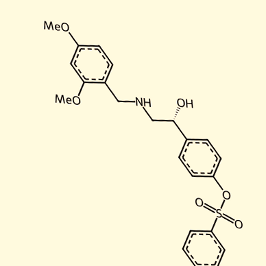 COc1ccc(CNC[C@H](O)c2ccc(OS(=O)(=O)c3ccccc3)cc2)c(OC)c1